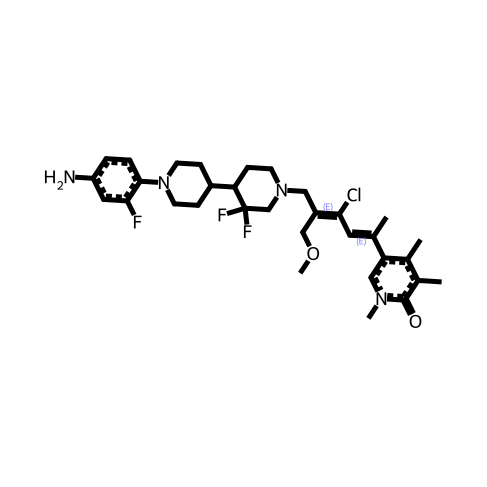 COC/C(CN1CCC(C2CCN(c3ccc(N)cc3F)CC2)C(F)(F)C1)=C(Cl)\C=C(/C)c1cn(C)c(=O)c(C)c1C